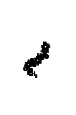 CCS(=O)(=O)c1cccc(S(=O)(=O)c2ccc(CNC(=O)N3Cc4ccncc4C3)nc2)c1